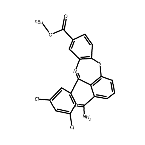 CCCCOC(=O)c1ccc2c(c1)N=C(c1cc(Cl)cc(Cl)c1)c1c(cccc1C(N)=O)S2